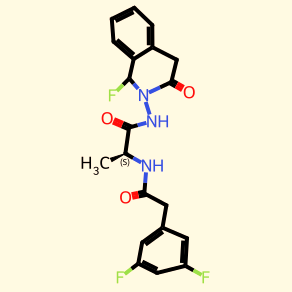 C[C@H](NC(=O)Cc1cc(F)cc(F)c1)C(=O)NN1C(=O)Cc2ccccc2C1F